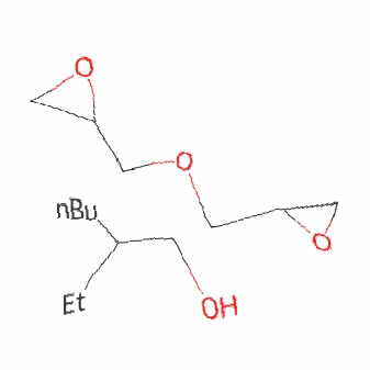 C(OCC1CO1)C1CO1.CCCCC(CC)CO